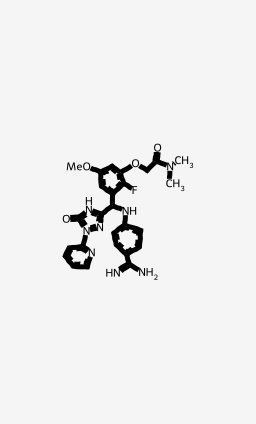 COc1cc(OCC(=O)N(C)C)c(F)c(C(Nc2ccc(C(=N)N)cc2)c2nn(-c3ccccn3)c(=O)[nH]2)c1